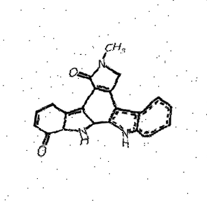 CN1CC2=C(C1=O)C1=C3CC=CC(=O)C3NC1c1[nH]c3ccccc3c12